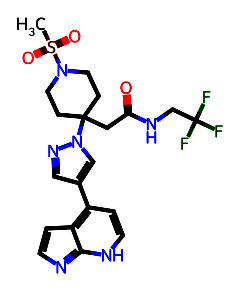 CS(=O)(=O)N1CCC(CC(=O)NCC(F)(F)F)(n2cc(-c3cc[nH]c4nccc3-4)cn2)CC1